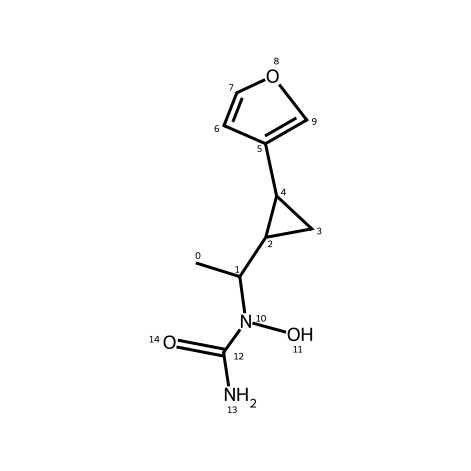 CC(C1CC1c1ccoc1)N(O)C(N)=O